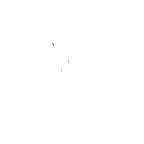 C[C@]12CCCC[C@@H]1N(Cc1cccc3ccccc13)CCC2